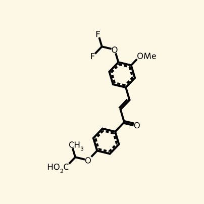 COc1cc(/C=C/C(=O)c2ccc(OC(C)C(=O)O)cc2)ccc1OC(F)F